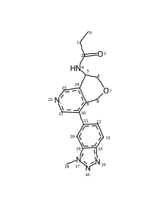 CCC(=O)NC1COCc2c(-c3ccc4nnn(C)c4c3)cncc21